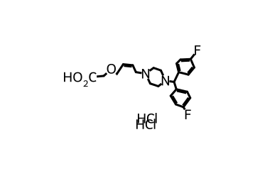 Cl.Cl.O=C(O)COC/C=C\CN1CCN(C(c2ccc(F)cc2)c2ccc(F)cc2)CC1